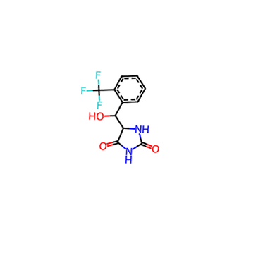 O=C1NC(=O)C(C(O)c2ccccc2C(F)(F)F)N1